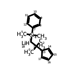 CC(C)(C[Si](C)(C)c1ccccc1)[C]1C=CC=C1.[LiH]